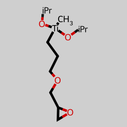 CC(C)[O][Ti]([CH3])([CH2]CCOCC1CO1)[O]C(C)C